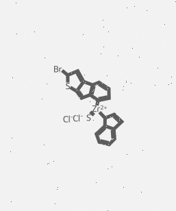 [Cl-].[Cl-].[S]=[Zr+2]([c]1cccc2c1C=C1SC(Br)C=C12)[CH]1C=Cc2ccccc21